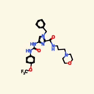 O=C(Nc1ccc(OC(F)(F)F)cc1)Nc1cn(Cc2ccccc2)c(C(=O)NCCCN2CCOCC2)n1